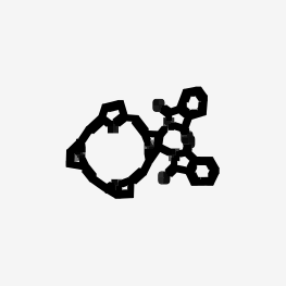 O=C1c2ccccc2C(=O)N1C1=C(N2C(=O)c3ccccc3C2=O)C2=NC1=CC1=NC(=CC3=NC(=CC4=NC(=C2)C=C4)C=C3)C=C1